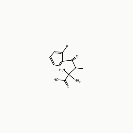 CC(C(=O)c1ccccc1F)C(N)(N)C(=O)O